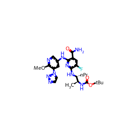 CCC[C@@H](Nc1nc(Nc2cnc(OC)c(-n3ccnn3)c2)c(C(N)=O)cc1F)[C@H](C)NC(=O)OC(C)(C)C